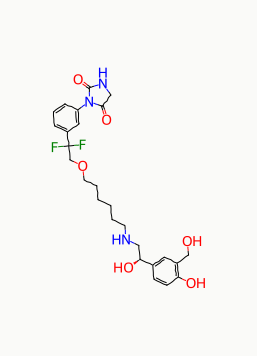 O=C1CNC(=O)N1c1cccc(C(F)(F)COCCCCCCNC[C@H](O)c2ccc(O)c(CO)c2)c1